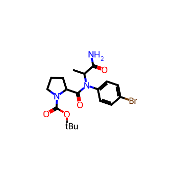 CC(C(N)=O)N(C(=O)C1CCCN1C(=O)OC(C)(C)C)c1ccc(Br)cc1